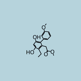 CCc1c(O)cc(O)c(-c2cccc(OC)c2)c1CC(=O)OC